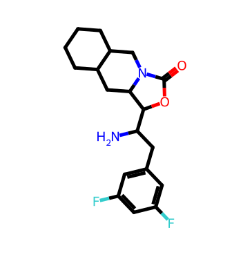 NC(Cc1cc(F)cc(F)c1)C1OC(=O)N2CC3CCCCC3CC12